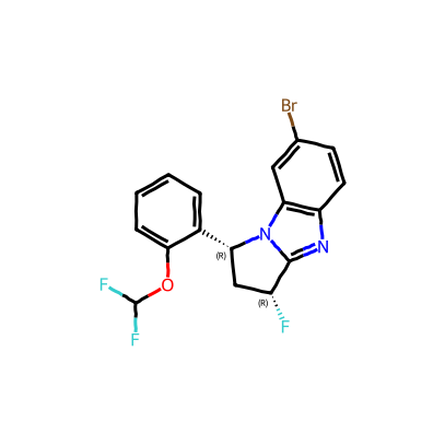 FC(F)Oc1ccccc1[C@H]1C[C@@H](F)c2nc3ccc(Br)cc3n21